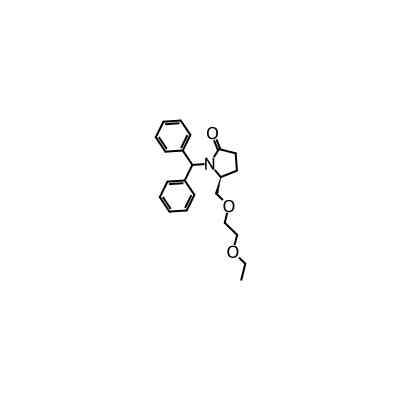 CCOCCOC[C@@H]1CCC(=O)N1C(c1ccccc1)c1ccccc1